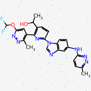 Cc1ccc(Nc2ccc3c(c2)ncn3-c2ccc(C(C)O)c(-c3cc(OC(F)F)nnc3C)n2)nn1